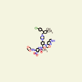 CC1(C)CCC(CN2CCN(c3ccc(C(=O)NP(C)(=O)c4ccc(NC[C@H]5COCCO5)c([N+](=O)[O-])c4)c(N4CCOc5nc6[nH]ccc6cc54)c3)CC2)=C(c2ccc(Cl)cc2)C1